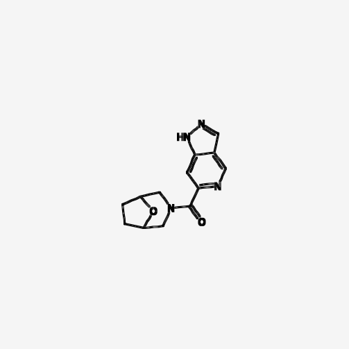 O=C(c1cc2[nH]ncc2cn1)N1CC2CCC(C1)O2